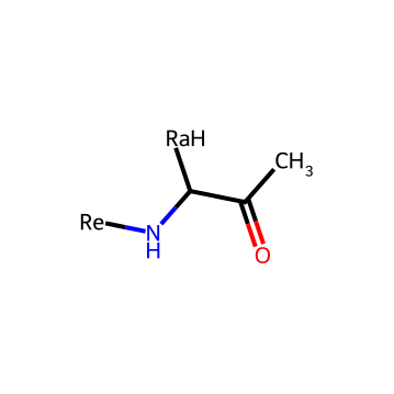 CC(=O)[CH]([RaH])[NH][Re]